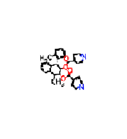 Cc1ccccc1[C@H]1c2ccccc2[C@H](C)C(OC(=O)c2ccncc2)C1OC(=O)c1ccncc1